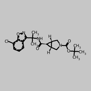 CC(C)(C)OC(=O)N1C[C@@H]2[C@H](C1)[C@H]2C(=O)NC(C)(C)c1noc2c(Cl)cccc12